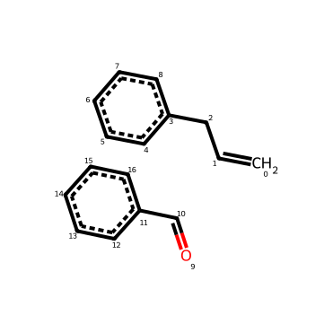 C=CCc1ccccc1.O=Cc1ccccc1